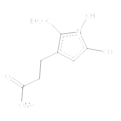 CCOC(=O)c1c(CCC(=O)OC)cc(C)n1C